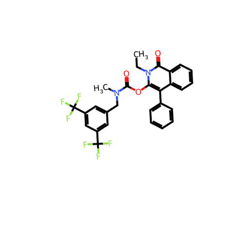 CCn1c(OC(=O)N(C)Cc2cc(C(F)(F)F)cc(C(F)(F)F)c2)c(-c2ccccc2)c2ccccc2c1=O